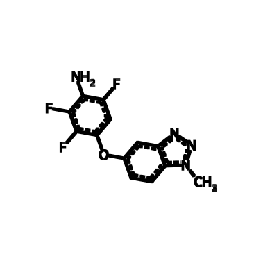 Cn1nnc2cc(Oc3cc(F)c(N)c(F)c3F)ccc21